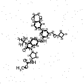 [2H]C([2H])([2H])n1c(=O)n([C@@H]2CC[C@@H](NC(=O)OC)C2)c2cc(Nc3cc(COC4CCC4)cc(-c4ccc5c(c4)OCCO5)n3)ncc21